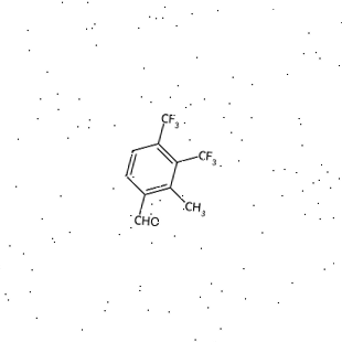 Cc1c(C=O)ccc(C(F)(F)F)c1C(F)(F)F